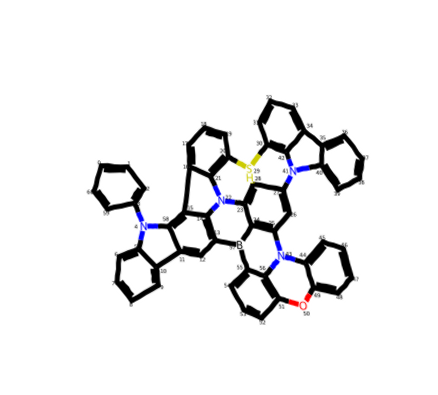 c1ccc(-n2c3ccccc3c3cc4c5c(c6cccc7c6n5-c5c6c(cc8c5[SH]7c5cccc7c9ccccc9n-8c57)N5c7ccccc7Oc7cccc(c75)B64)c32)cc1